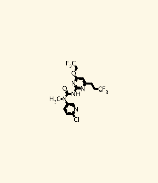 CN(C(=O)Nc1nc(CCC(F)(F)F)cc(OCC(F)(F)F)n1)c1ccc(Cl)nc1